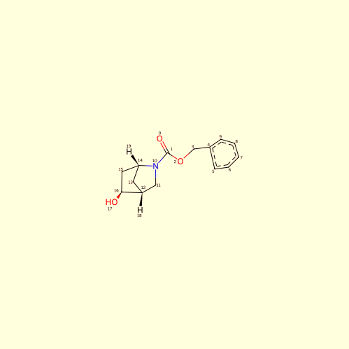 O=C(OCc1ccccc1)N1C[C@H]2C[C@@H]1C[C@@H]2O